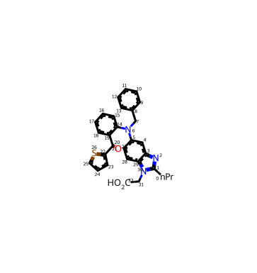 CCCc1nc2cc(N(Cc3ccccc3)c3ccccc3C(=O)c3cccs3)ccc2n1CC(=O)O